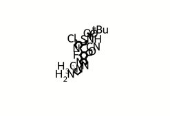 C[C@H]1[C@@H](N)CCN1c1ncc2c3c(c(-c4ncc(Cl)c5sc(NC(=O)OC(C)(C)C)c(C#N)c45)c(F)c2n1)COC3